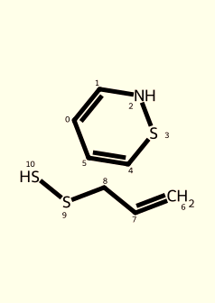 C1=CNSC=C1.C=CCSS